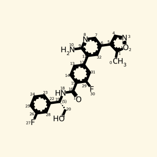 Cc1oncc1-c1cnc(N)c(-c2ccc(C(=O)N[C@H](CO)c3cccc(F)c3)c(F)c2)c1